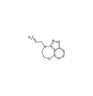 C=CCN1CCOc2cccc3onc1c23